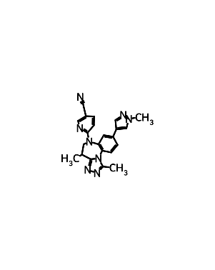 Cc1nnc2n1-c1ccc(-c3cnn(C)c3)cc1N(c1ccc(C#N)cn1)CC2C